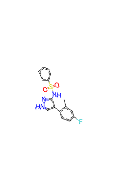 Cc1cc(F)ccc1-c1c[nH]nc1NS(=O)(=O)c1ccccc1